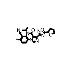 CC(C)n1c(=O)c2c(-c3noc(C4CCCO4)n3)ncn2c2ccc(F)c(C#N)c21